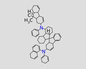 CC1(C)C2CCC=CC2C2C=CC(N(c3ccccc3)C3CCC[C@H]4C3C3CCCCC3C43c4ccccc4C4C=CC(N(C5=CCCC=C5)c5cccc6c5C=CCC6)CC43)CC21